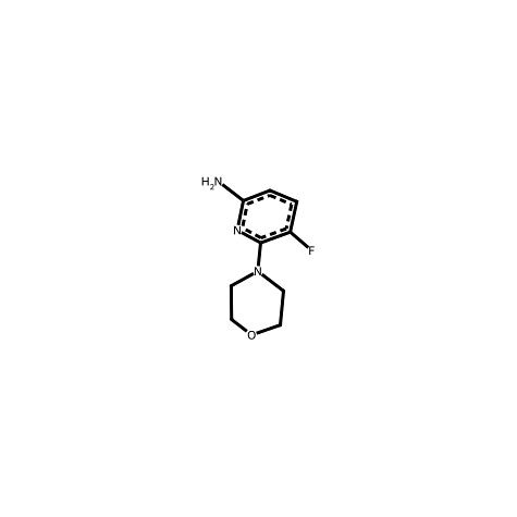 Nc1ccc(F)c(N2CCOCC2)n1